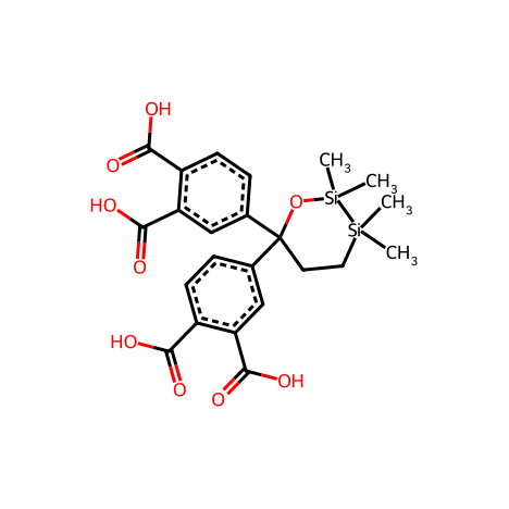 C[Si]1(C)CCC(c2ccc(C(=O)O)c(C(=O)O)c2)(c2ccc(C(=O)O)c(C(=O)O)c2)O[Si]1(C)C